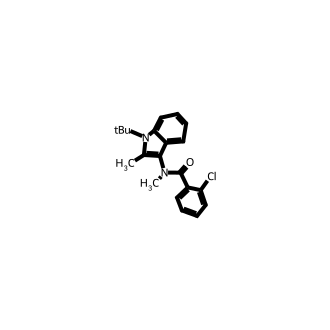 Cc1c(N(C)C(=O)c2ccccc2Cl)c2ccccc2n1C(C)(C)C